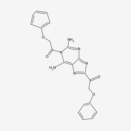 Nc1nc2nc(C(=O)COc3ccccc3)nc-2c(N)n1C(=O)COc1ccccc1